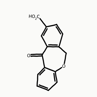 O=C(O)c1ccc2c(c1)C(=O)c1ccccc1OC2